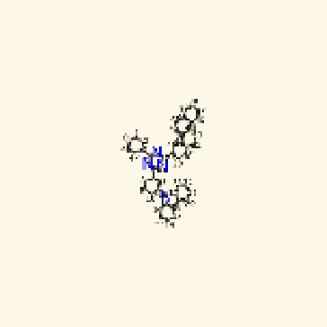 c1ccc(-c2nc(-c3cccc(-n4c5ccccc5c5ccccc54)c3)nc(-c3ccc4ccc5c6ccccc6ccc5c4c3)n2)cc1